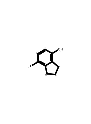 Oc1ccc(F)c2c1CCC2